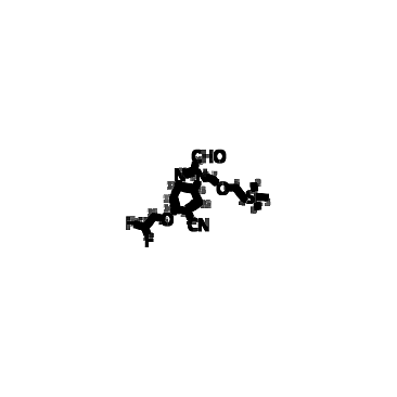 C[Si](C)(C)CCOCn1c(C=O)nc2cc(OCC(F)F)c(C#N)cc21